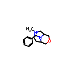 CN1CCC2COCC(C1)N2Cc1ccccc1